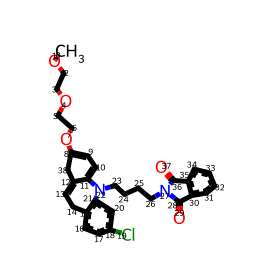 COCCOCCOC1=CC=C2C(=CCc3ccc(Cl)cc3N2CCCCN2C(=O)c3ccccc3C2=O)C1